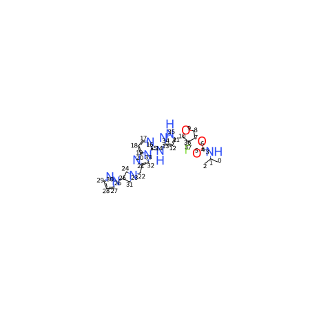 CC(C)NC(=O)O[C@H]1CO[C@@H](c2cc(Nc3nccc4nc(CN5CC(n6cccn6)C5)cn34)n[nH]2)[C@H]1F